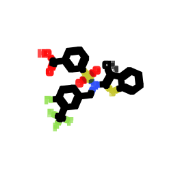 Cc1c(N(Cc2ccc(F)c(C(F)(F)F)c2)S(=O)(=O)c2cccc(C(=O)O)c2)sc2ccccc12